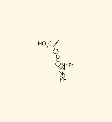 CC#CC(CC(=O)O)c1ccc(OCc2ccc3c(CN4CCC(F)(F)C4)nn(CC(C)C)c3c2C)cc1